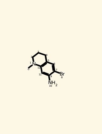 CN1CCCc2cc(Br)c(N)cc21